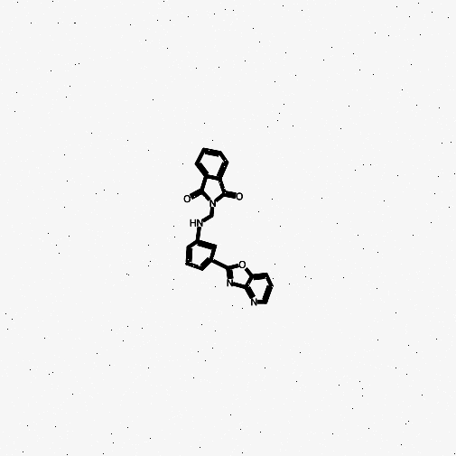 O=C1c2ccccc2C(=O)N1CNc1cccc(-c2nc3ncccc3o2)c1